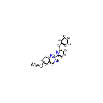 CO[C@@H]1CCc2nc(-c3cccc(Cc4ccccc4)n3)ncc2C1